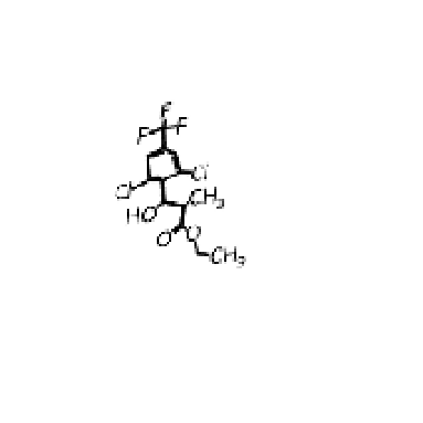 CCOC(=O)C(C)C(O)c1c(Cl)cc(C(F)(F)F)cc1Cl